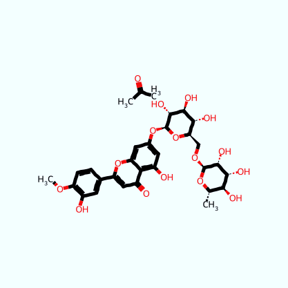 CC(C)=O.COc1ccc(-c2cc(=O)c3c(O)cc(O[C@@H]4O[C@H](CO[C@@H]5O[C@@H](C)[C@H](O)[C@@H](O)[C@H]5O)[C@@H](O)[C@H](O)[C@H]4O)cc3o2)cc1O